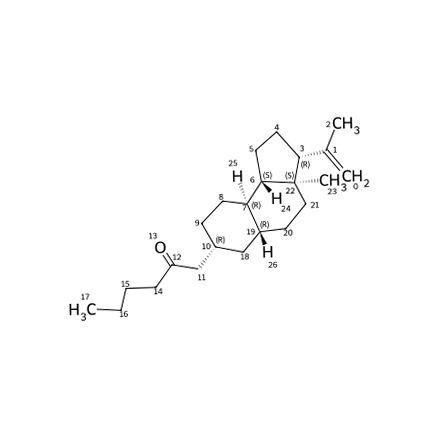 C=C(C)[C@H]1CC[C@H]2[C@@H]3CC[C@@H](CC(=O)CCCC)C[C@H]3CC[C@]12C